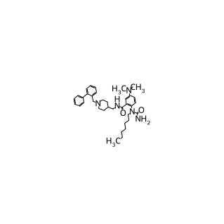 CCCCCCCN(C(N)=O)c1ccc(N(C)C)cc1C(=O)NCC1CCN(Cc2ccccc2-c2ccccc2)CC1